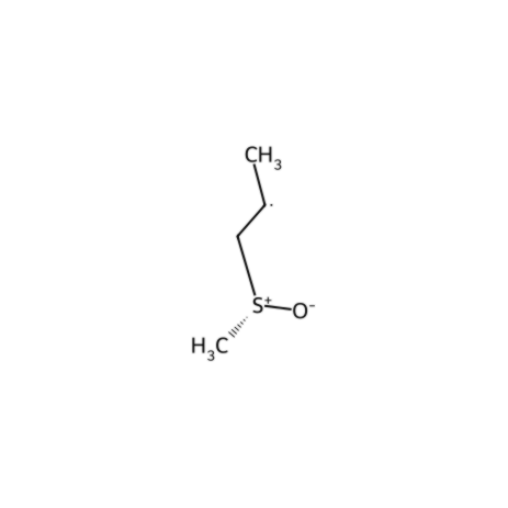 C[CH]C[S@@+](C)[O-]